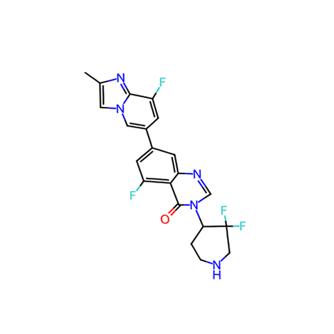 Cc1cn2cc(-c3cc(F)c4c(=O)n(C5CCNCC5(F)F)cnc4c3)cc(F)c2n1